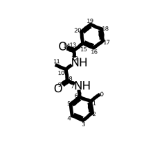 Cc1ccccc1NC(=O)C(C)NC(=O)c1ccccc1